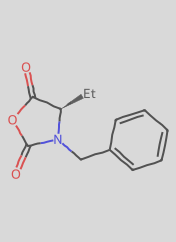 CC[C@@H]1C(=O)OC(=O)N1Cc1ccccc1